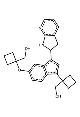 OCC1(Oc2ccc3c(c2)c(C2Cc4cccnc4N2)cn3C2(CO)CCC2)CCC1